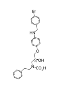 O=C(O)N(CCc1ccccc1)C[C@H](O)COc1ccc(NCc2ccc(Br)cc2)cc1